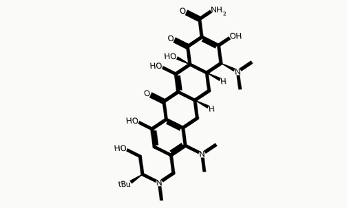 CN(C)c1c(CN(C)[C@H](CO)C(C)(C)C)cc(O)c2c1C[C@H]1C[C@H]3[C@H](N(C)C)C(O)=C(C(N)=O)C(=O)[C@@]3(O)C(O)=C1C2=O